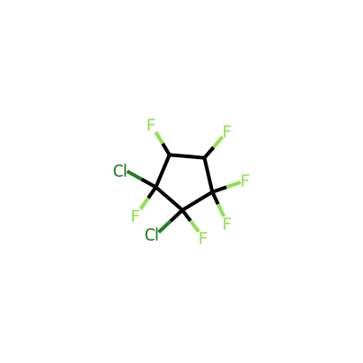 FC1C(F)C(F)(Cl)C(F)(Cl)C1(F)F